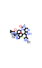 [2H]C([2H])([2H])n1ncc2cc(-c3c(-c4cn(CC)nc4F)[nH]c4ncc5c(c34)n(C3CCC(C)(NC(=O)C4CC4)CC3)c(=O)n5C)ccc21